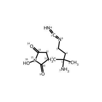 CC(C)(N)CCN=C=N.O=C1CCC(=O)N1O